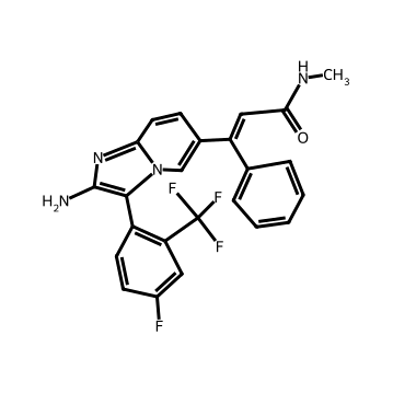 CNC(=O)/C=C(\c1ccccc1)c1ccc2nc(N)c(-c3ccc(F)cc3C(F)(F)F)n2c1